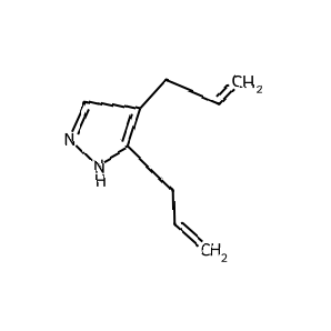 C=CCc1cn[nH]c1CC=C